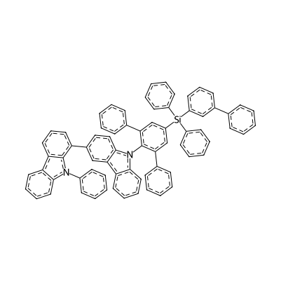 c1ccc(-c2cccc([Si](c3ccccc3)(c3ccccc3)c3cc(-c4ccccc4)c(-n4c5ccccc5c5cc(-c6cccc7c8ccccc8n(-c8ccccc8)c67)ccc54)c(-c4ccccc4)c3)c2)cc1